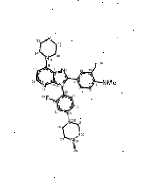 CNc1ccc(-c2nc3c(N4CCCCC4)ccnc3n2-c2ccc(N3CCN(C)CC3)cc2F)cc1F